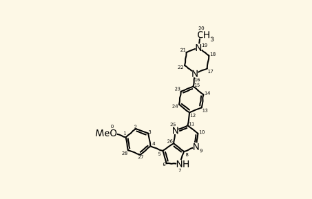 COc1ccc(-c2c[nH]c3ncc(-c4ccc(N5CCN(C)CC5)cc4)nc23)cc1